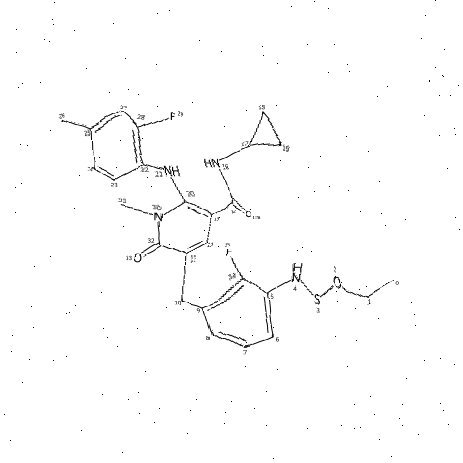 CCOSNc1cccc(Cc2cc(C(=O)NC3CC3)c(Nc3ccc(C)cc3F)n(C)c2=O)c1F